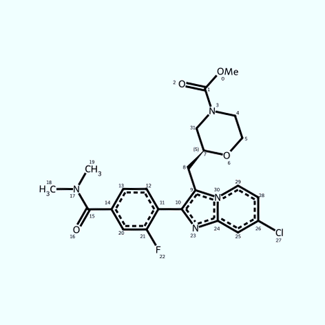 COC(=O)N1CCO[C@@H](Cc2c(-c3ccc(C(=O)N(C)C)cc3F)nc3cc(Cl)ccn23)C1